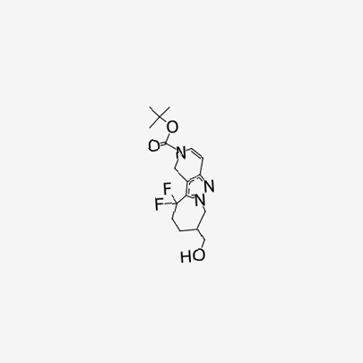 CC(C)(C)OC(=O)N1C=Cc2nn3c(c2C1)C(F)(F)CCC(CO)C3